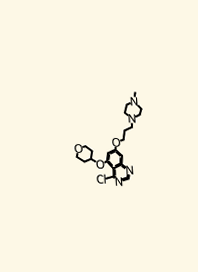 CN1CCN(CCCOc2cc(OC3CCOCC3)c3c(Cl)ncnc3c2)CC1